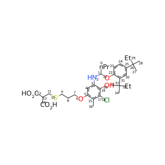 CCCC(Nc1cc(OCCCSCC(C(=O)O)C(=O)O)c(C)c(Cl)c1O)Oc1ccc(C(C)(C)CC)cc1C(C)(C)CC